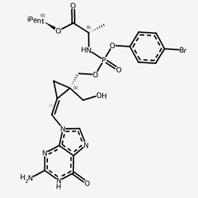 CCC[C@H](C)OC(=O)[C@H](C)NP(=O)(OC[C@@]1(CO)C/C1=C/n1cnc2c(=O)[nH]c(N)nc21)Oc1ccc(Br)cc1